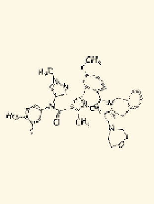 COc1ccc(C(=O)N2Cc3ccccc3C[C@H]2CN2CCOCC2)c(-c2cc(C(=O)N(c3ccc(O)c(F)c3)c3cnn(C)c3)c(C)n2C)c1